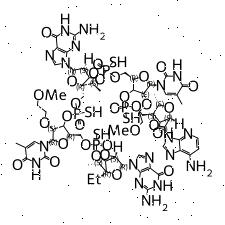 CC[C@@]12O[C@@H](n3cnc4c(=O)[nH]c(N)nc43)[C@@H](O[C@H]1C)C2OP(=O)(S)OC[C@H]1O[C@@H](n2cc(C)c(=O)[nH]c2=O)[C@@H](OCCOC)C1OP(=O)(S)OC[C@@]12O[C@@H](n3cnc4c(=O)[nH]c(N)nc43)[C@@H](O[C@H]1C)C2OP(=O)(S)OC[C@H]1O[C@@H](n2cc(C)c(=O)[nH]c2=O)[C@@H](OCCOC)C1OP(=O)(S)OC[C@@]12O[C@@H](n3cnc4c(N)ccnc43)[C@@H](O[C@H]1C)C2O